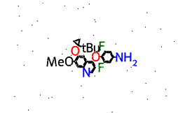 COc1cc2nccc(Oc3c(F)cc(N)cc3F)c2cc1OC1(C(C)(C)C)CC1